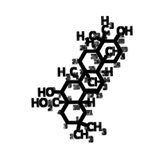 CC1(C)CC[C@]2(C(=O)O)C(O)C[C@]3(C)C(=CC[C@@H]4[C@@]5(C)CCC(O)C(C)(C)[C@@H]5CC[C@]43C)[C@@H]2C1